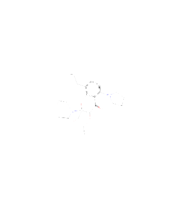 CCCc1ccc(N2CCCC2)c2c1OC(CO)(N1CCOCC1)C(OCC)C2=O